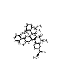 C#CC(=O)N1CCN(c2c(C(=O)NC)c(=O)n(-c3c(C)ccnc3C(C)C)c3nc(-c4c(O)cccc4F)c(F)cc23)CC1